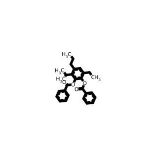 CCCc1cc(CC)c(OC(=O)c2ccccc2)c(OC(=O)c2ccccc2)c1C(C)C